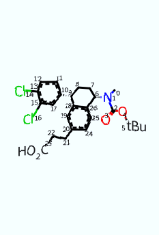 CN(C(=O)OC(C)(C)C)[C@H]1CC[C@@H](c2ccc(Cl)c(Cl)c2)c2cc(CCC(=O)O)ccc21